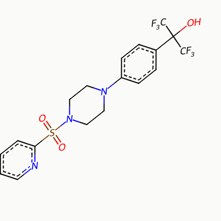 O=S(=O)(c1ccccn1)N1CCN(c2ccc(C(O)(C(F)(F)F)C(F)(F)F)cc2)CC1